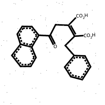 O=C(O)C(CC(=O)c1cccc2ccccc12)=C(Cc1ccccc1)C(=O)O